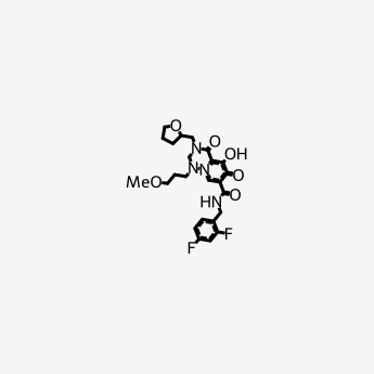 COCCCN1CN(CC2CCCO2)C(=O)c2c(O)c(=O)c(C(=O)NCc3ccc(F)cc3F)cn21